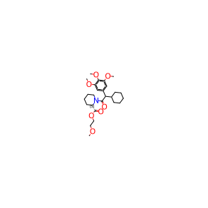 COCCOC(=O)[C@@H]1CCCCN1C(=O)C(c1cc(OC)c(OC)c(OC)c1)C1CCCCC1